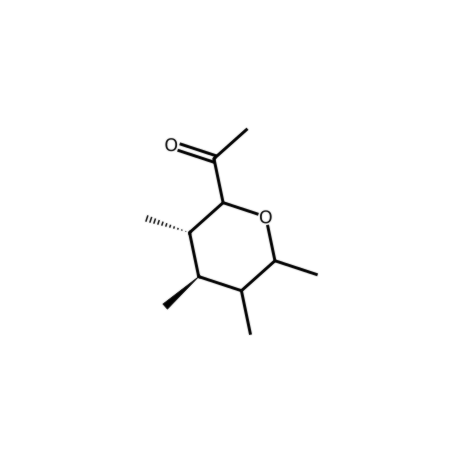 CC(=O)C1OC(C)C(C)[C@@H](C)[C@@H]1C